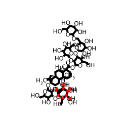 C=C1C[C@@]23CC[C@H]4[C@@](C)(CCC[C@@]4(C)C(=O)OC4OC(CO)C(O)C(OC5OC(COC6OC(CO)C(O)C(O)C6O)C(O)C(O)C5O)C4OC4OC(CO)C(O)C(O)C4O)[C@@H]2CC[C@]1(OC1OC(CO)C(O)C(OC2OC(CO)C(O)C(O)C2O)C1OC1OC(CO)C(O)C(O)C1O)C3